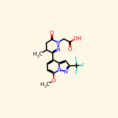 COc1ccc(C2=NN(CC(=O)O)C(=O)CC2C)c2cc(C(F)(F)F)nn12